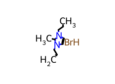 Br.C=CCN1C=CN(CCC)C1C